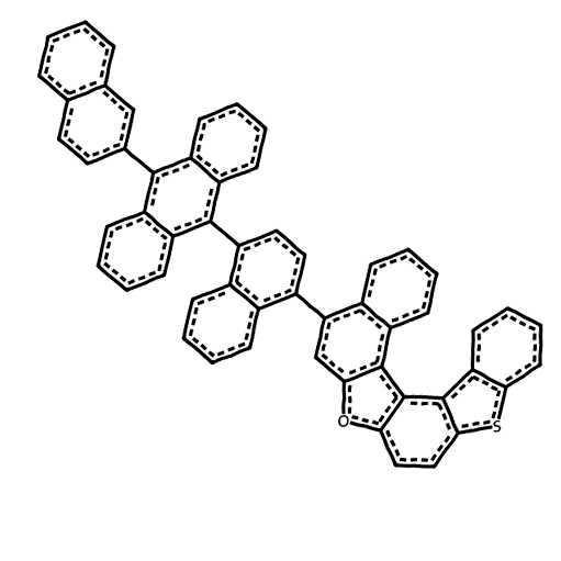 c1ccc2cc(-c3c4ccccc4c(-c4ccc(-c5cc6oc7ccc8sc9ccccc9c8c7c6c6ccccc56)c5ccccc45)c4ccccc34)ccc2c1